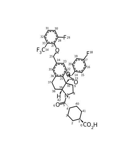 O=C(O)[C@H]1CC[C@H](C(=O)N2CC[C@@]3(S(=O)(=O)c4ccc(F)cc4)c4ccc(COc5c(F)cccc5C(F)(F)F)cc4CC[C@@H]23)CC1